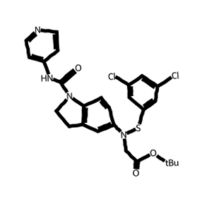 CC(C)(C)OC(=O)CN(Sc1cc(Cl)cc(Cl)c1)c1ccc2c(c1)CCN2C(=O)Nc1ccncc1